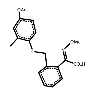 CON=C(C(=O)O)c1ccccc1COc1ccc(OC(C)=O)cc1C